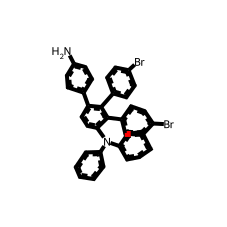 Nc1ccc(-c2ccc(N(c3ccccc3)c3ccccc3)c(-c3ccc(Br)cc3)c2-c2ccc(Br)cc2)cc1